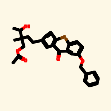 CC(=O)OCC(C)(CCc1ccc2sc3ccc(OCc4ccccc4)cc3c(=O)c2c1)C(C)O